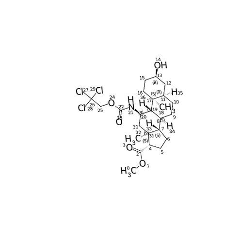 COC(=O)[C@H]1CC[C@H]2[C@@H]3CC[C@@H]4C[C@H](O)CC[C@]4(C)[C@H]3[C@H](NC(=O)OCC(Cl)(Cl)Cl)C[C@]12C